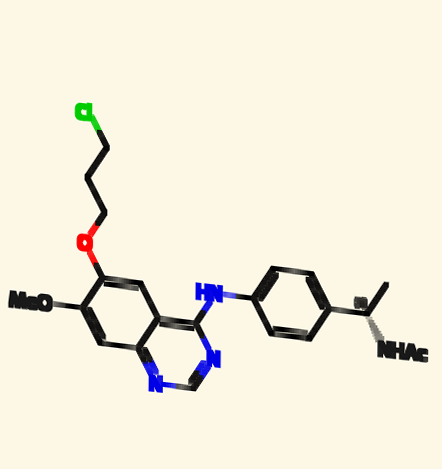 COc1cc2ncnc(Nc3ccc([C@H](C)NC(C)=O)cc3)c2cc1OCCCCl